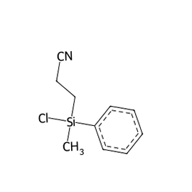 C[Si](Cl)(CCC#N)c1ccccc1